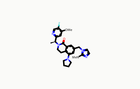 CNc1nccn1Cc1cc2c(c(N3CCCC3)c1)CCN([C@@H](C)c1cc(OC)c(F)cn1)C2=O